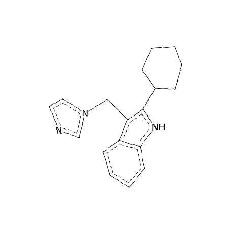 c1ccc2c(Cn3ccnc3)c(C3CCCCC3)[nH]c2c1